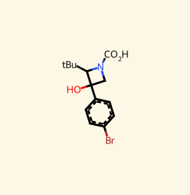 CC(C)(C)C1N(C(=O)O)CC1(O)c1ccc(Br)cc1